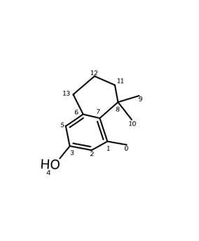 Cc1cc(O)cc2c1C(C)(C)CCC2